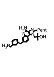 CCCC(C)c1nc2c(N)nc3cc(Cc4cccc(CN)c4)ccc3c2n1CC(C)(C)O